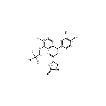 O=C1NC[C@@H](C(=O)N[C@@H](c2ccc(F)c(Cl)c2)c2ccc(F)c(OCC(F)(F)F)n2)N1